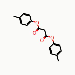 Cc1ccc(OC(=O)CC(=O)Oc2ccc(C)cc2)cc1